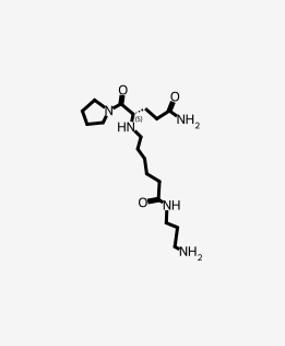 NCCCNC(=O)CCCCCN[C@@H](CCC(N)=O)C(=O)N1CCCC1